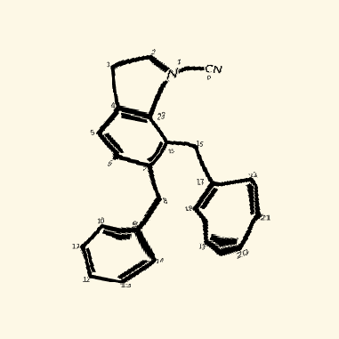 N#CN1CCc2ccc(Cc3ccccc3)c(Cc3ccccc3)c21